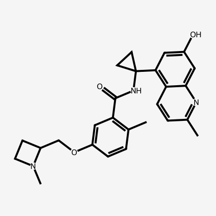 Cc1ccc2c(C3(NC(=O)c4cc(OCC5CCN5C)ccc4C)CC3)cc(O)cc2n1